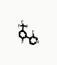 Fc1cnccc1-c1cc(C(F)(F)F)ccc1F